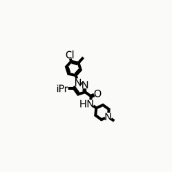 Cc1cc(-n2nc(C(=O)NC3CCN(C)CC3)cc2C(C)C)ccc1Cl